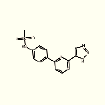 CS(=O)(=O)Nc1ccc(-c2c[c]cc(-c3nnn[nH]3)n2)cc1